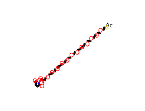 CC(=O)SCCOCCOCCOCCOCCOCCOCCOCCOCCOCCOCCOCCOCCC(=O)O[N+]1(O)C(=O)CCC1=O